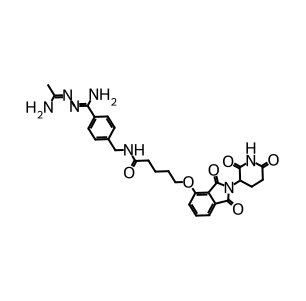 C/C(N)=N/N=C(\N)c1ccc(CNC(=O)CCCCOc2cccc3c2C(=O)N(C2CCC(=O)NC2=O)C3=O)cc1